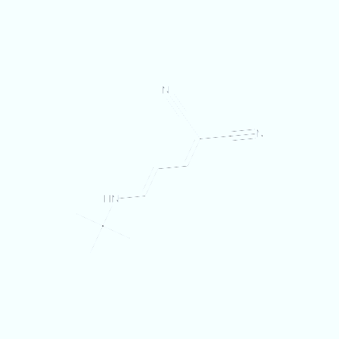 CC(C)(C)NC=CC=C(C#N)C#N